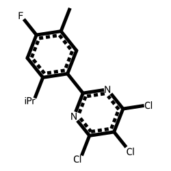 Cc1cc(-c2nc(Cl)c(Cl)c(Cl)n2)c(C(C)C)cc1F